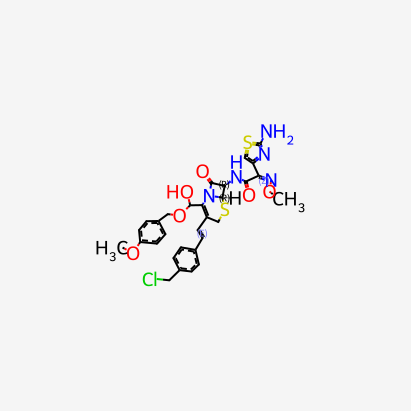 CO/N=C(\C(=O)N[C@@H]1C(=O)N2C(C(O)OCc3ccc(OC)cc3)=C(/C=C/c3ccc(CCl)cc3)CS[C@H]12)c1csc(N)n1